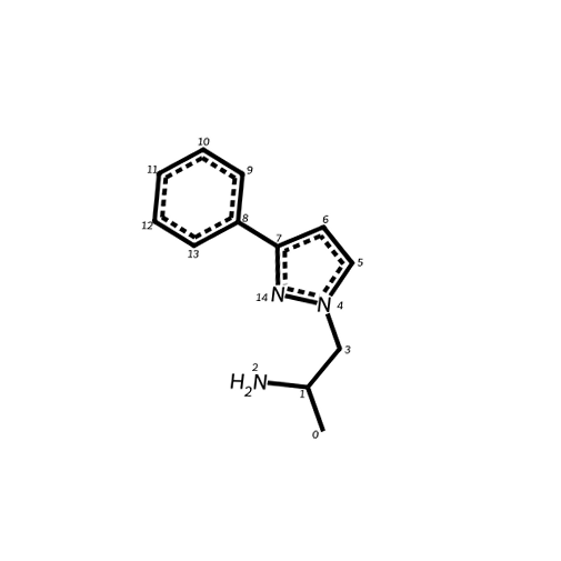 CC(N)Cn1ccc(-c2ccccc2)n1